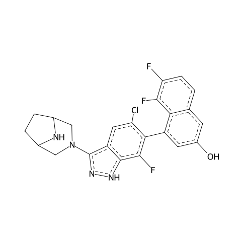 Oc1cc(-c2c(Cl)cc3c(N4CC5CCC(C4)N5)n[nH]c3c2F)c2c(F)c(F)ccc2c1